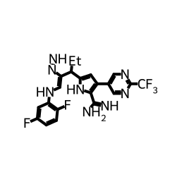 CCC(/C(=C/Nc1cc(F)ccc1F)N=N)c1cc(-c2cnc(C(F)(F)F)nc2)c(C(=N)N)[nH]1